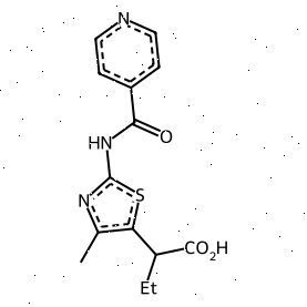 CCC(C(=O)O)c1sc(NC(=O)c2ccncc2)nc1C